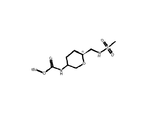 CC(C)(C)OC(=O)NC1CC[C@@H](CNS(C)(=O)=O)OC1